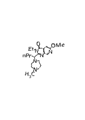 CCCC(c1nc2cnc(OC)cc2c(=O)n1CC)N1CCCN(C)CC1